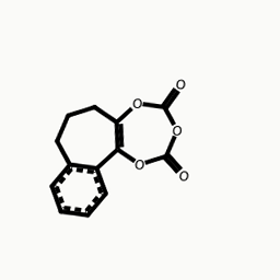 O=C1OC(=O)OC2=C(CCCc3ccccc32)O1